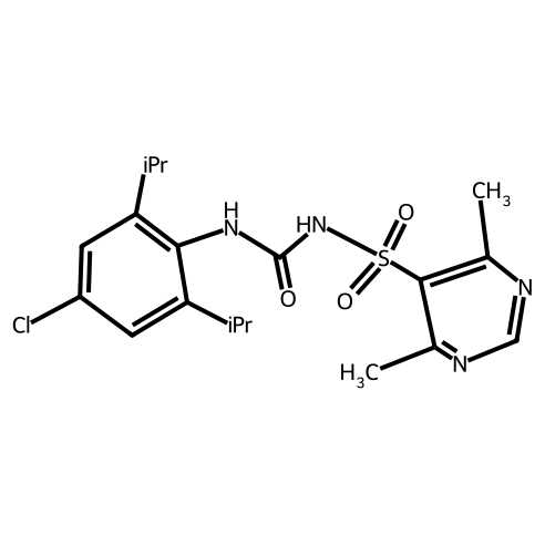 Cc1ncnc(C)c1S(=O)(=O)NC(=O)Nc1c(C(C)C)cc(Cl)cc1C(C)C